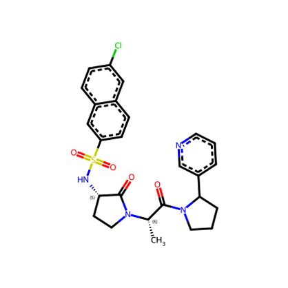 C[C@@H](C(=O)N1CCCC1c1cccnc1)N1CC[C@H](NS(=O)(=O)c2ccc3cc(Cl)ccc3c2)C1=O